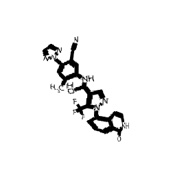 Cc1cc(-n2nccn2)c(C#N)cc1NC(O)c1cnn(-c2cccc3c(=O)[nH]ccc23)c1C(F)(F)F